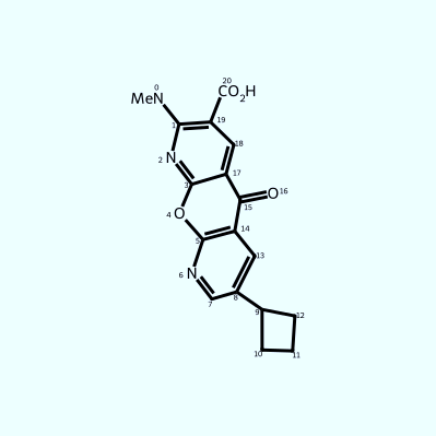 CNc1nc2oc3ncc(C4CCC4)cc3c(=O)c2cc1C(=O)O